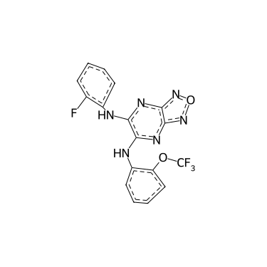 Fc1ccccc1Nc1nc2nonc2nc1Nc1ccccc1OC(F)(F)F